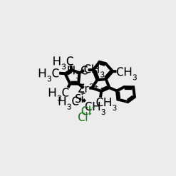 CC1=C(C)C(C)[C]([Zr+2]([CH]2C(C)=C(c3ccccc3)c3c(C)ccc(C)c32)=[Si](C)C)=C1C.[Cl-].[Cl-]